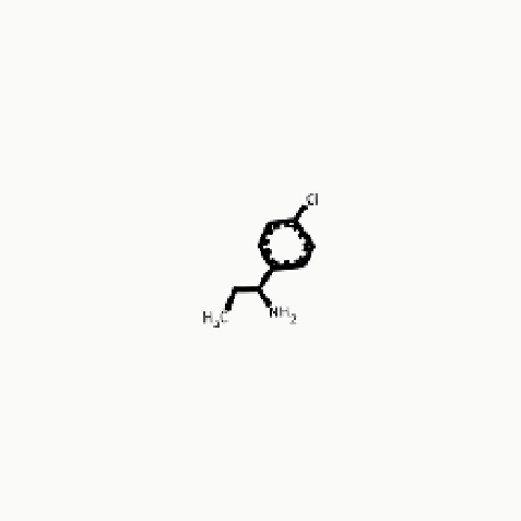 CCC(N)c1ccc(Cl)cc1